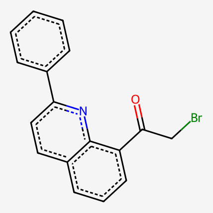 O=C(CBr)c1cccc2ccc(-c3ccccc3)nc12